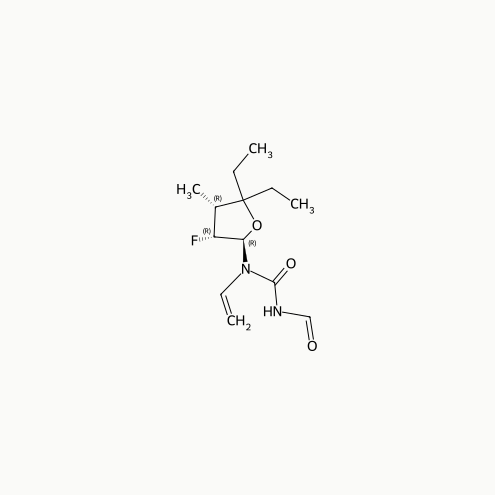 C=CN(C(=O)NC=O)[C@@H]1OC(CC)(CC)[C@@H](C)[C@H]1F